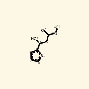 O[C@@H](CC(Cl)OCl)c1cccs1